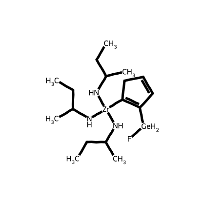 CCC(C)[NH][Zr]([NH]C(C)CC)([NH]C(C)CC)[C]1=[C]([GeH2][F])C=CC1